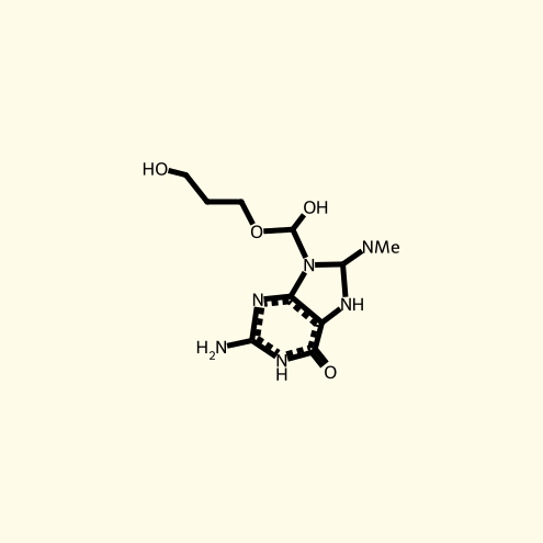 CNC1Nc2c(nc(N)[nH]c2=O)N1C(O)OCCCO